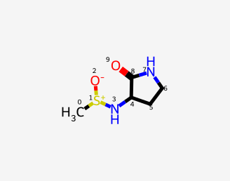 C[S+]([O-])NC1CCNC1=O